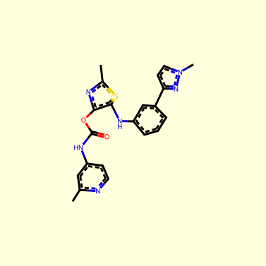 Cc1cc(NC(=O)Oc2nc(C)sc2Nc2cccc(-c3ccn(C)n3)c2)ccn1